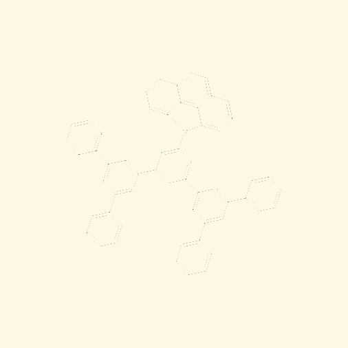 c1ccc(-c2cc(-c3ccccc3)nc(-c3cc(-c4cc(-c5ccccc5)cc(-c5ccccc5)n4)cc(-n4c5cccc6ccc7cccc4c7c65)c3)c2)cc1